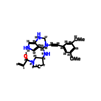 C=CC(=O)N1CCCC(N[C@@H]2c3c[nH]cc3NCN2C#Cc2cc(OC)cc(OC)c2)C1